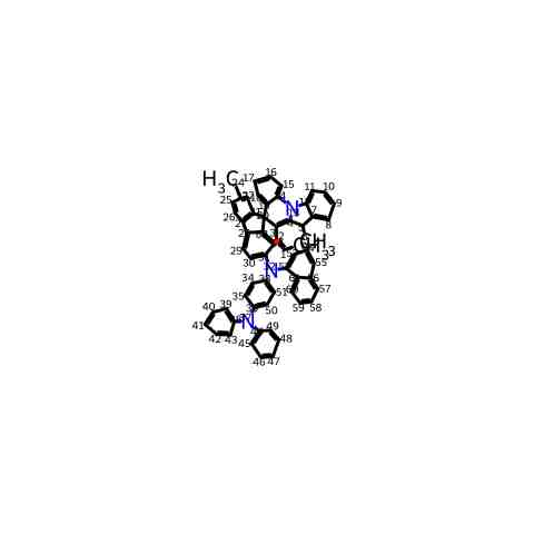 C/C=C\C1=C2C(C)c3ccccc3N2c2ccccc2C12c1cc(C)ccc1-c1ccc(N(c3ccc(N(c4ccccc4)c4ccccc4)cc3)c3cccc4ccccc34)cc12